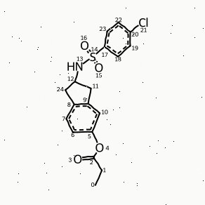 CCC(=O)Oc1ccc2c(c1)CC(NS(=O)(=O)c1ccc(Cl)cc1)C2